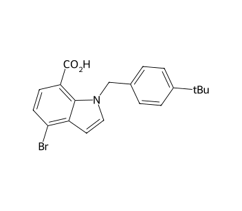 CC(C)(C)c1ccc(Cn2ccc3c(Br)ccc(C(=O)O)c32)cc1